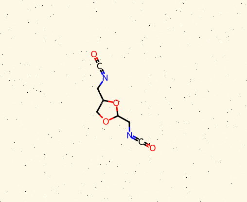 O=C=NCC1COC(CN=C=O)O1